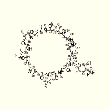 CCC(C)[C@@H]1NC(=O)[C@H](CC(C)C)N(C)C(=O)C[C@@H](C)N(C)C(=O)[C@H](C(C)C)N(C)C(=O)C2(CCCC2)NC(=O)[C@@H]2CCCN2C(=O)[C@H](CCc2ccc(C(F)(F)F)c(Cl)c2)NC(=O)CN(C)C(=O)[C@H](CC2CC2)N(C)C(=O)CN(C)C(=O)CN(C)C1=O